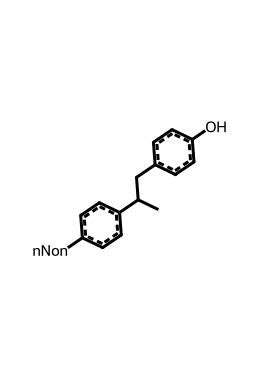 CCCCCCCCCc1ccc(C(C)Cc2ccc(O)cc2)cc1